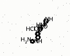 Cl.N[C@@H]1CC[C@H](NC2CCc3cc(-n4ccc(NC(=O)N5CCNCC5)nc4=O)ccc3C2)C1